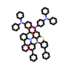 c1ccc(-c2ccc3c(c2)B2c4cc(-c5ccccc5)ccc4N(c4c(-c5ccccc5)cccc4-c4ccccc4)c4cc(N(c5ccc(N(c6ccccc6)c6ccccc6)cc5)c5ccc(N(c6ccccc6)c6ccccc6)cc5)cc(c42)S3)cc1